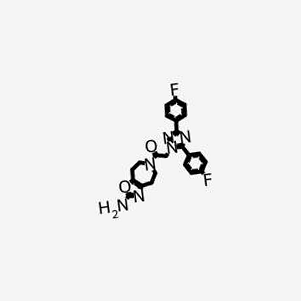 Nc1nc2c(o1)CCN(C(=O)Cn1nc(-c3ccc(F)cc3)nc1-c1ccc(F)cc1)CC2